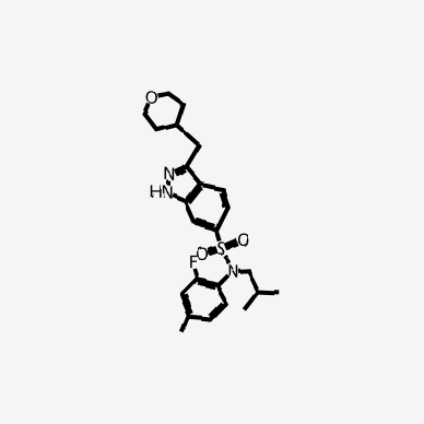 Cc1ccc(N(CC(C)C)S(=O)(=O)c2ccc3c(CC4CCOCC4)n[nH]c3c2)c(F)c1